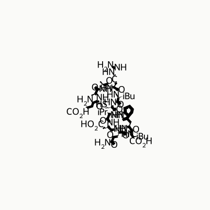 CC[C@H](C)[C@H](NC(=O)[C@H](Cc1c[nH]c2ccccc12)NC(=O)[C@H](CCC(N)=O)NC(=O)[C@H](CC(=O)O)NC(=O)[C@@H](NC(=O)[C@H](CS)NC(=O)[C@@H](NC(=O)[C@H](CCCNC(=N)N)NC(=O)[C@H](C)NC(=O)[C@H](C)NC(=O)[C@@H](N)CCC(=O)O)[C@@H](C)CC)C(C)C)C(=O)O